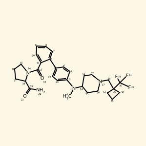 CN(c1ccc(-c2ccccc2C(=O)N2CCCC2C(N)=O)cc1)C1CCN(CC2(C(F)(F)F)CCC2)CC1